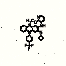 COc1ncccc1Nc1cc2nc3ccccc3n(-c3ccc(C(F)(F)F)cc3)c-2c/c1=N\C1CCC1